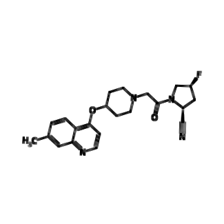 Cc1ccc2c(OC3CCN(CC(=O)N4C[C@@H](F)C[C@H]4C#N)CC3)ccnc2c1